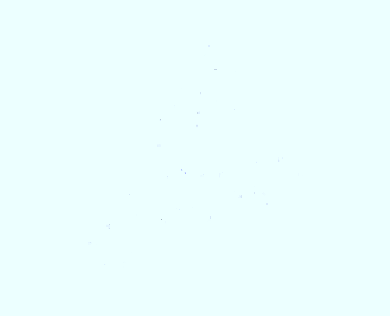 Clc1cccc2c1sc1ccc(-n3c4ccc(-c5ccccc5)cc4c4ccc(-c5ccccc5)cc43)cc12